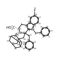 CC(=O)N1[C@H](C(=O)O)Cc2c(n(Cc3ccccc3)c3ccc(F)cc23)[C@]1(Cc1ccccc1)CC12CC3CC(CC(C3)C1)C2